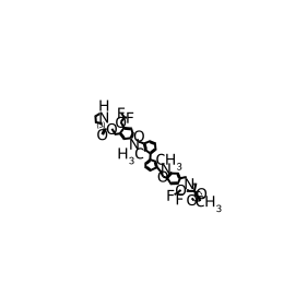 Cc1c(-c2nc3cc(COC(=O)[C@@H]4CCCN4)c(OC(F)F)cc3o2)cccc1-c1cccc(-c2nc3cc(CN4CC(S(C)(=O)=O)C4)c(OC(F)F)cc3o2)c1C